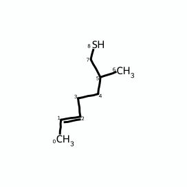 CC=CCCC(C)CS